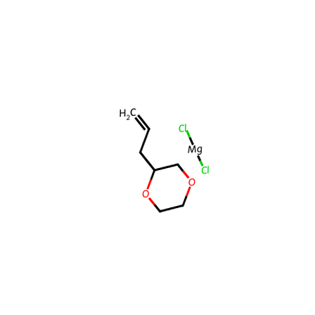 C=CCC1COCCO1.[Cl][Mg][Cl]